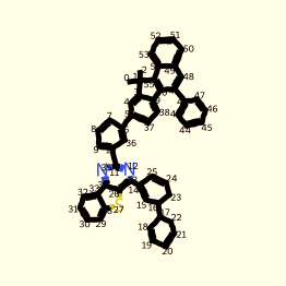 CC1(C)c2cc(-c3cccc(-c4nc(C5=CC(C6C=CC=CC6)CC=C5)c5sc6ccccc6c5n4)c3)ccc2-c2c(-c3ccccc3)cc3ccccc3c21